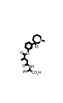 C=C(CC(=O)NC(C(=O)O)C(C)C)C(=O)Oc1cccc(C2(CC)CCCCN(C)C2)c1